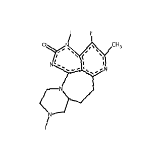 Cc1nc2c3c(nc(=O)n(I)c3c1F)N1CCN(I)CC1CC2